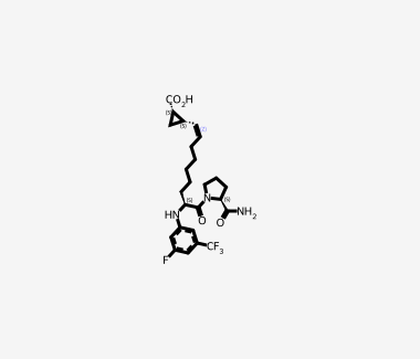 NC(=O)[C@@H]1CCCN1C(=O)[C@H](CCCCC/C=C\[C@@H]1C[C@@H]1C(=O)O)Nc1cc(F)cc(C(F)(F)F)c1